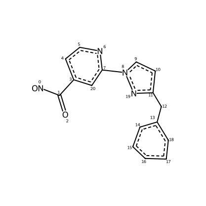 O=NC(=O)c1ccnc(-n2ccc(Cc3ccccc3)n2)c1